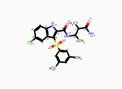 Cc1cc(C)cc(S(=O)(=O)c2c(C(=O)NC(C)C(C)C(N)=O)[nH]c3ccc(Cl)cc23)c1